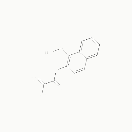 C=C(C)C(=O)Sc1ccc2ccccc2c1OC